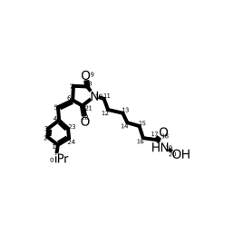 CC(C)c1ccc(C=C2CC(=O)N(CCCCCCC(=O)NO)C2=O)cc1